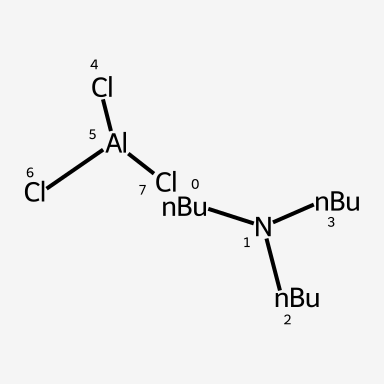 CCCCN(CCCC)CCCC.[Cl][Al]([Cl])[Cl]